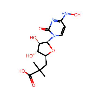 CC(C)(C[C@@H]1O[C@H](n2ccc(NO)nc2=O)[C@@H](O)[C@H]1O)C(=O)O